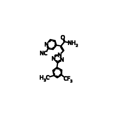 Cc1cc(-c2ncn(/C=C(/C(N)=O)c3ccnc(C#N)c3)n2)cc(C(F)(F)F)c1